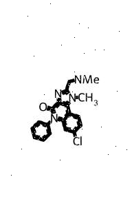 CNCc1nc2c(=O)n(-c3ccccc3)c3cc(Cl)ccc3c2n1C